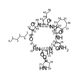 CCCCCC[C@H]1OC[C@@H](C)NC(=O)[C@H](CO[C@@H]2CCNC2)NC(=O)[C@H](CN)NC(=O)[C@H](C2CCCCCC2)NC(=O)[C@H](CCCC)N(C)C(=O)[C@@H]1C